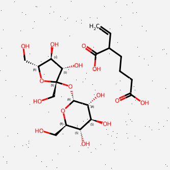 C=CC(CCCC(=O)O)C(=O)O.OC[C@H]1O[C@@](CO)(O[C@H]2O[C@H](CO)[C@@H](O)[C@H](O)[C@H]2O)[C@@H](O)[C@@H]1O